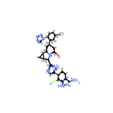 Nc1n[nH]c2c(F)c(-c3cnc(C4C5CC5c5cc(-c6cc(Cl)ccc6-n6cnnn6)cc(=O)n54)[nH]3)ccc12